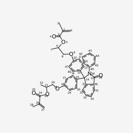 C=C(C)C(=O)OC(C)COc1ccc(C2(c3ccc(OCC(C)OC(=O)C(=C)C)cc3)c3ccccc3C(=O)N2c2ccccc2)cc1